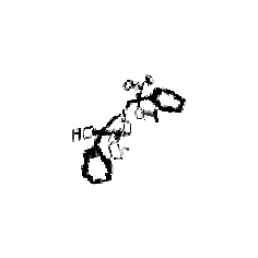 O=[N+]([O-])C(O)(CSCC(O)(c1ccccc1)[N+](=O)[O-])c1ccccc1